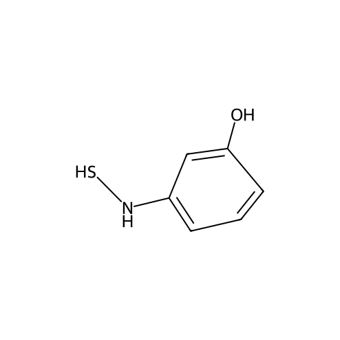 Oc1cccc(NS)c1